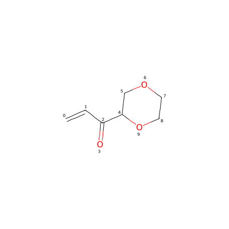 C=CC(=O)C1COCCO1